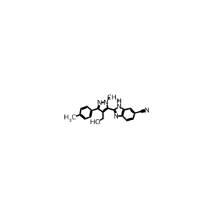 Cc1ccc(-c2nn(C)c(-c3nc4ccc(C#N)cc4[nH]3)c2CO)cc1